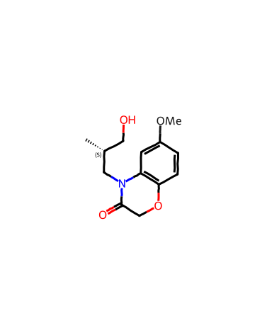 COc1ccc2c(c1)N(C[C@H](C)CO)C(=O)CO2